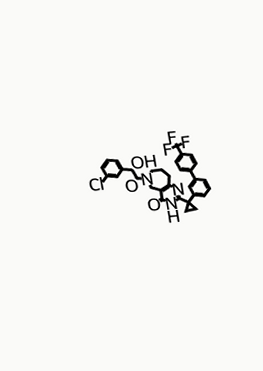 O=C(C(O)c1cccc(Cl)c1)N1CCCc2nc(C3(c4cccc(-c5ccc(C(F)(F)F)cc5)c4)CC3)[nH]c(=O)c2C1